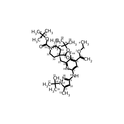 C=C(OCC)c1cc(Nc2cc(C)n(C(C)(C)C)n2)nc(C[C@@]2(C(=O)OC(C)(C)C)CCN(C(=O)OC(C)(C)C)[C@H](C)C2)c1F